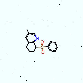 Cc1cnc2c(c1)CCCC2S(=O)(=O)c1ccccc1